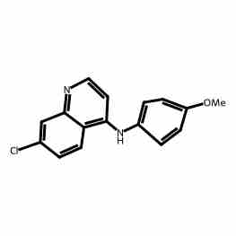 COc1ccc(Nc2ccnc3cc(Cl)ccc23)cc1